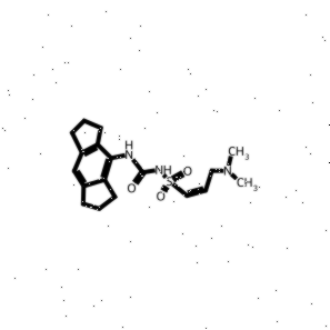 CN(C)C/C=C\S(=O)(=O)NC(=O)Nc1c2c(cc3c1CCC3)CCC2